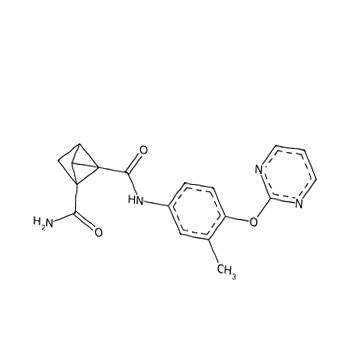 Cc1cc(NC(=O)C2C3CC2(C(N)=O)C3)ccc1Oc1ncccn1